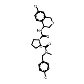 CN(Cc1ccc(Cl)cc1)C(=O)[C@H]1CCCN1C(=O)NC1COCc2cc(Cl)ccc21